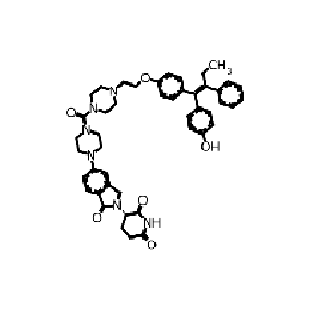 CC/C(=C(/c1ccc(O)cc1)c1ccc(OCCN2CCN(C(=O)N3CCN(c4ccc5c(c4)CN([C@H]4CCC(=O)NC4=O)C5=O)CC3)CC2)cc1)c1ccccc1